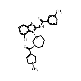 Cc1cc(C(=O)Nc2nc3cccc(Cl)c3n2[C@@H]2CCCCN(C(=O)C3=CCN(C)CC3)C2)ccn1